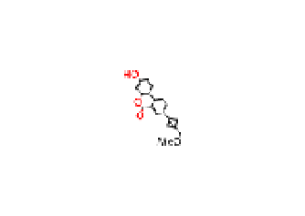 COCC12CC(c3ccc4c(c3)c(=O)oc3cc(O)ccc34)(C1)C2